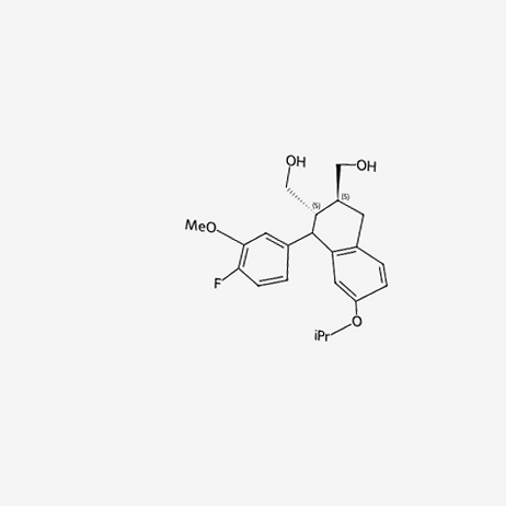 COc1cc(C2c3cc(OC(C)C)ccc3C[C@H](CO)[C@H]2CO)ccc1F